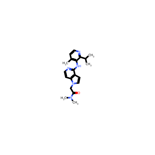 Cc1ccnc(C(C)C)c1Nc1nccc2c1ccn2CC(=O)N(C)C